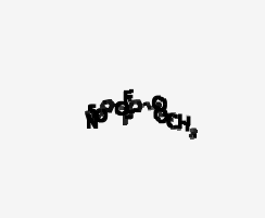 CCOC(=O)CCc1cc(F)c(OCc2cccc(Oc3nccs3)c2)c(F)c1